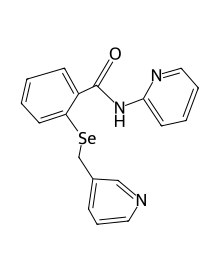 O=C(Nc1ccccn1)c1ccccc1[Se]Cc1cccnc1